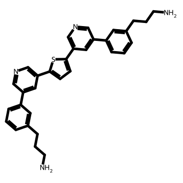 NCCCc1cccc(-c2cncc(-c3ccc(-c4cncc(-c5cccc(CCCN)c5)c4)s3)c2)c1